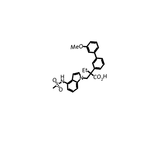 CCC(Cn1ccc2c(NS(C)(=O)=O)cccc21)(C(=O)O)c1cccc(-c2cccc(OC)c2)c1